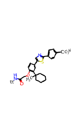 CCNC(=O)COc1ccc(-c2cnc(-c3ccc(C(=O)O)cc3)s2)cc1C1(C)CCCCC1